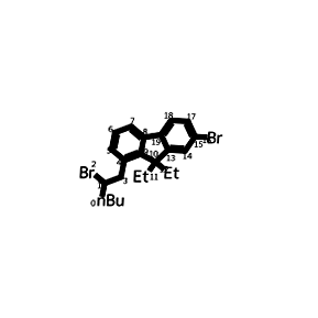 CCCCC(Br)Cc1cccc2c1C(CC)(CC)c1cc(Br)ccc1-2